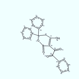 O=C1OC(c2ccccc2)(c2ccccc2)CC(O)=C1C(=O)C(=O)c1ccccc1